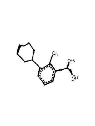 Oc1c(C(O)O)cccc1C1CCCCC1